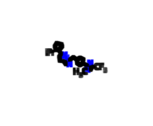 CC(C)c1ccccc1-c1ccc2cnc(Cc3ccc(-c4nc(C(F)(F)F)cn4C)cc3)n2n1